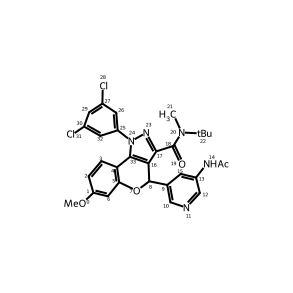 COc1ccc2c(c1)OC(c1cncc(NC(C)=O)c1)c1c(C(=O)N(C)C(C)(C)C)nn(-c3cc(Cl)cc(Cl)c3)c1-2